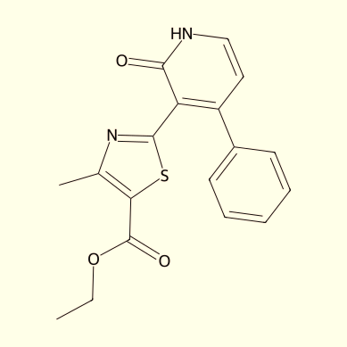 CCOC(=O)c1sc(-c2c(-c3ccccc3)cc[nH]c2=O)nc1C